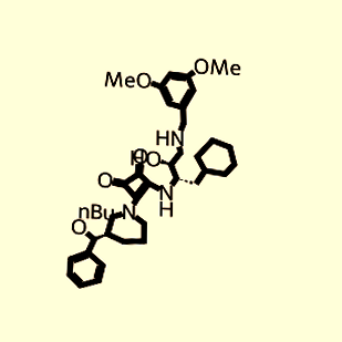 CCCCOC(c1ccccc1)[C@@H]1CCCN(c2c(N[C@@H](CC3CCCCC3)[C@@H](O)CNCc3cc(OC)cc(OC)c3)c(=O)c2=O)C1